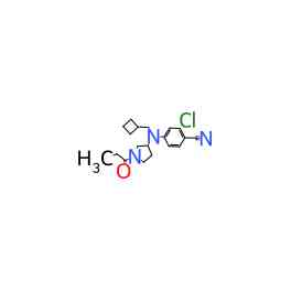 CCC(=O)N1CCC(N(CC2CCC2)c2ccc(C#N)c(Cl)c2)C1